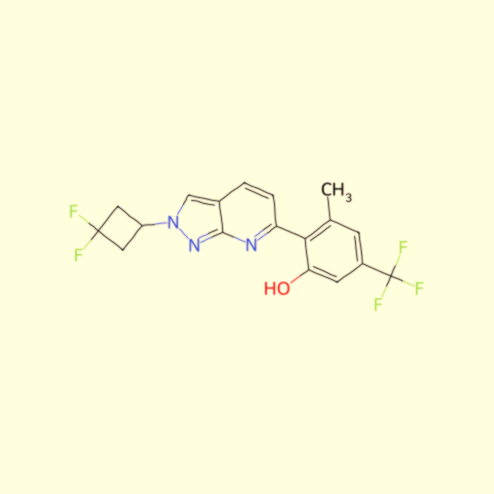 Cc1cc(C(F)(F)F)cc(O)c1-c1ccc2cn(C3CC(F)(F)C3)nc2n1